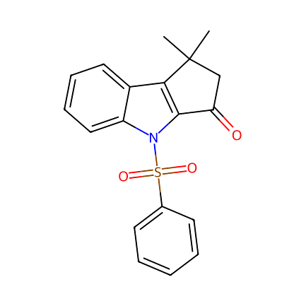 CC1(C)CC(=O)c2c1c1ccccc1n2S(=O)(=O)c1ccccc1